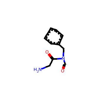 NCC(=O)N([C]=O)Cc1ccccc1